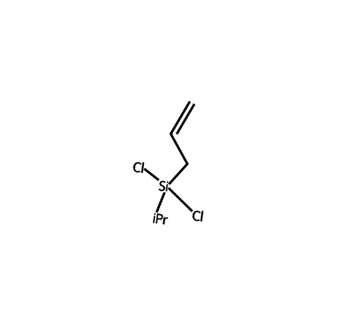 C=CC[Si](Cl)(Cl)C(C)C